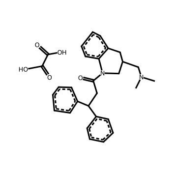 CN(C)CC1Cc2ccccc2N(C(=O)CC(c2ccccc2)c2ccccc2)C1.O=C(O)C(=O)O